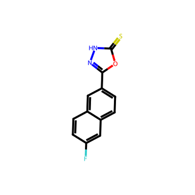 Fc1ccc2cc(-c3n[nH]c(=S)o3)ccc2c1